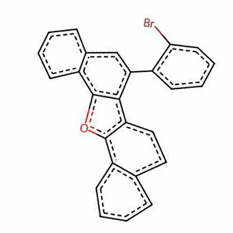 Brc1ccccc1-c1cc2ccccc2c2oc3c4ccccc4ccc3c12